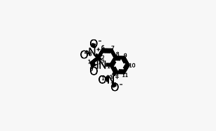 O=CC1([N+](=O)[O-])C=Cc2cccc([N+](=O)[O-])c2N1